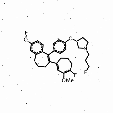 COC1=C(F)CCCC(C2=C(c3ccc(O[C@H]4CCN(CCCF)C4)cc3)c3ccc(OF)cc3CCC2)=C1